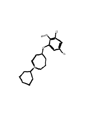 COc1c(Cl)cc(Cl)cc1OC1CCCN(C2CCCCC2)CC1